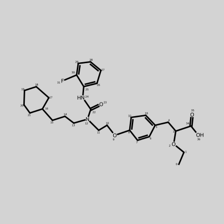 CCOC(Cc1ccc(OCCN(CCCC2CCCCC2)C(=O)Nc2ccccc2F)cc1)C(=O)O